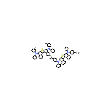 Cc1cccc(N(c2ccccc2)c2cc3sc4cc(N(c5ccccc5)c5cccc(C)c5)c5cc(CC(C)c6ccc(N(c7ccccc7)c7cc8sc9cc(N(c%10ccccc%10)c%10ccc(C(C)C)cc%10)c%10ccccc%10c9c8c8ccccc78)cc6)ccc5c4c3c3ccccc23)c1